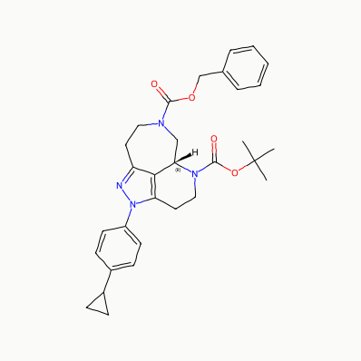 CC(C)(C)OC(=O)N1CCc2c3c(nn2-c2ccc(C4CC4)cc2)CCN(C(=O)OCc2ccccc2)C[C@@H]31